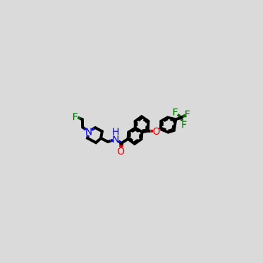 O=C(NCC1CCN(CCF)CC1)c1ccc2c(Oc3ccc(C(F)(F)F)cc3)cccc2c1